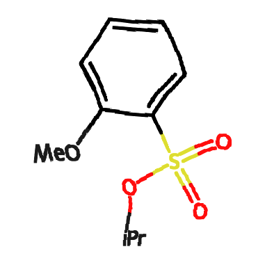 COc1ccccc1S(=O)(=O)OC(C)C